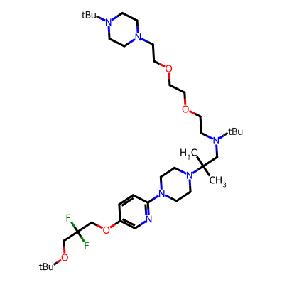 CC(C)(C)OCC(F)(F)COc1ccc(N2CCN(C(C)(C)CN(CCOCCOCCN3CCN(C(C)(C)C)CC3)C(C)(C)C)CC2)nc1